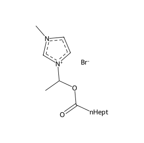 CCCCCCCC(=O)OC(C)[n+]1ccn(C)c1.[Br-]